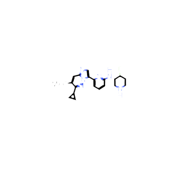 COc1cc2ncc(-c3cccc(N[C@H]4CNCC[C@@H]4F)n3)n2nc1C1CC1